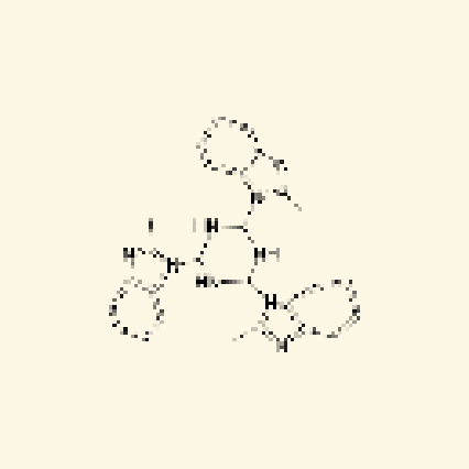 Cc1nc2ccccc2n1C1NC(n2c(C)nc3ccccc32)NC(n2c(C)nc3ccccc32)N1